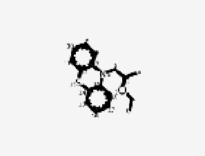 CCOC(C)CN1c2ccccc2Sc2ccccc21